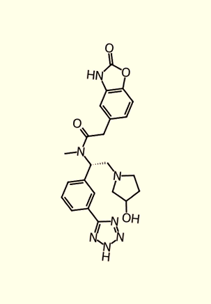 CN(C(=O)Cc1ccc2oc(=O)[nH]c2c1)[C@H](CN1CCC(O)C1)c1cccc(-c2nn[nH]n2)c1